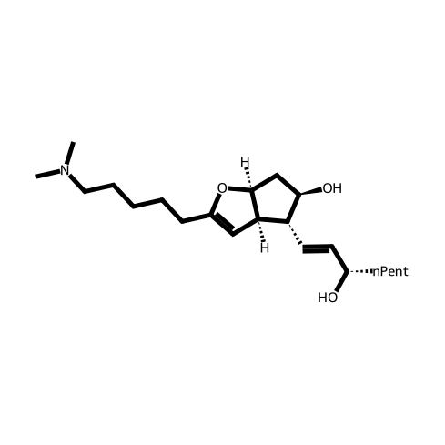 CCCCC[C@H](O)/C=C/[C@@H]1[C@H]2C=C(CCCCCN(C)C)O[C@H]2C[C@H]1O